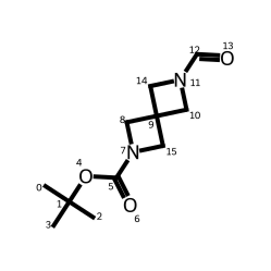 CC(C)(C)OC(=O)N1CC2(CN(C=O)C2)C1